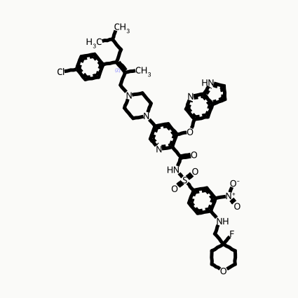 C/C(CN1CCN(c2cnc(C(=O)NS(=O)(=O)c3ccc(NCC4(F)CCOCC4)c([N+](=O)[O-])c3)c(Oc3cnc4[nH]ccc4c3)c2)CC1)=C(\CC(C)C)c1ccc(Cl)cc1